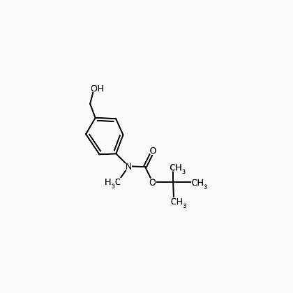 CN(C(=O)OC(C)(C)C)c1ccc(CO)cc1